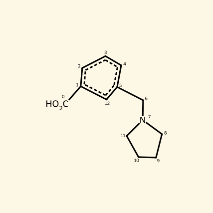 O=C(O)c1cccc(CN2CCCC2)c1